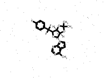 Cc1ncnc2c1ccn2[C@@H]1OC(C(F)(F)c2ccc(F)cc2)[C@H]2OC(C)(C)O[C@H]21